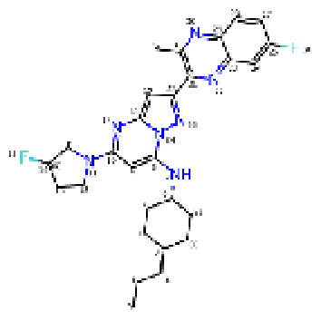 CCC[C@H]1CC[C@H](Nc2cc(N3CC[C@@H](F)C3)nc3cc(-c4nc5cc(F)ccc5nc4C)nn23)CC1